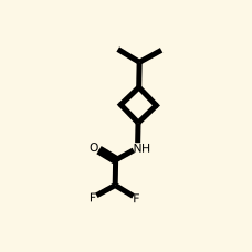 CC(C)C1CC(NC(=O)C(F)F)C1